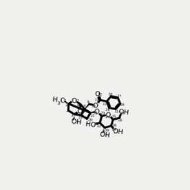 C[C@@]12C[C@@]3(O)OC(O1)[C@@]1(COC(=O)c4ccccc4)C3C[C@@]12OC1OC(CO)C(O)[C@H](O)C1O